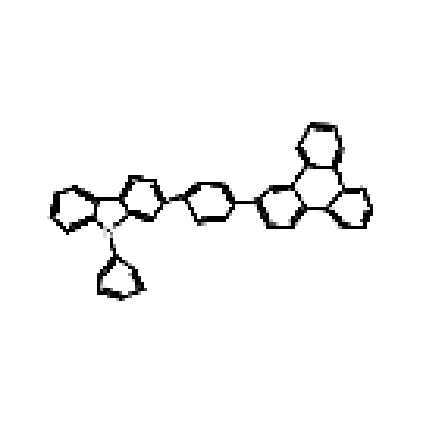 c1ccc(-n2c3ccccc3c3ccc(-c4ccc(-c5ccc6c7ccccc7c7ccccc7c6c5)cc4)cc32)cc1